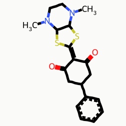 CN1CCN(C)C2SC(=C3C(=O)CC(c4ccccc4)CC3=O)SC21